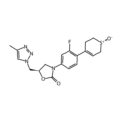 Cc1cn(C[C@H]2CN(c3ccc(C4=CC[S@+]([O-])CC4)c(F)c3)C(=O)O2)nn1